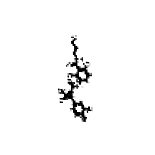 O=C(NCCCCl)c1c(Cl)ccc(NC(=O)C2C(c3ccc(F)c(Cl)c3)C2(Cl)Cl)c1Cl